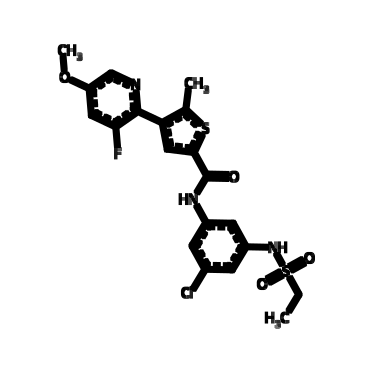 CCS(=O)(=O)Nc1cc(Cl)cc(NC(=O)c2cc(-c3ncc(OC)cc3F)c(C)s2)c1